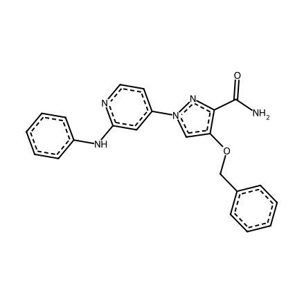 NC(=O)c1nn(-c2ccnc(Nc3ccccc3)c2)cc1OCc1ccccc1